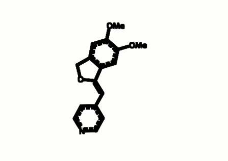 COc1cc2c(cc1OC)C(=Cc1ccncc1)OC2